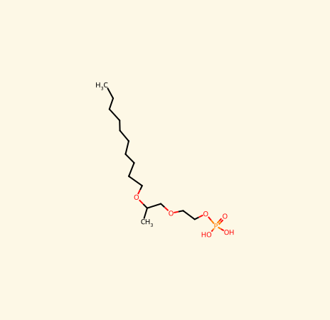 CCCCCCCCCCOC(C)COCCOP(=O)(O)O